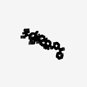 C[C@@H]1C[C@H](C(O)C(C)(C)O)O[C@H]2C1[C@@]1(C)CC[C@@]34CC35CCC(OC3CN(C(=O)c6ccccn6)CCO3)C(C)(C)[C@@H]5CC[C@H]4[C@]1(C)[C@H]2O